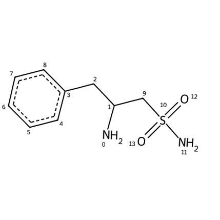 NC(Cc1ccccc1)CS(N)(=O)=O